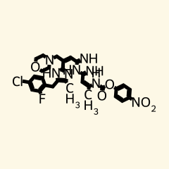 C/C(=C/C(=N)NC(=N)/C=C(/CN1CCOCC1)c1nc(C)c(Cc2ccc(Cl)cc2F)[nH]1)NC(=O)Oc1ccc([N+](=O)[O-])cc1